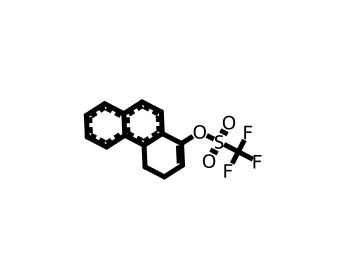 O=S(=O)(OC1=CCCc2c1ccc1ccccc21)C(F)(F)F